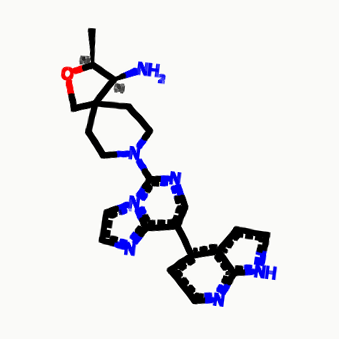 C[C@@H]1OCC2(CCN(c3ncc(-c4ccnc5[nH]ccc45)c4nccn34)CC2)[C@@H]1N